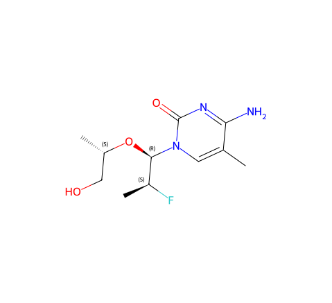 Cc1cn([C@H](O[C@@H](C)CO)[C@H](C)F)c(=O)nc1N